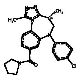 Cc1nnc2n1-c1ccc(C(=O)N3CCCC3)cc1N(c1ccc(Cl)cc1)C[C@H]2C